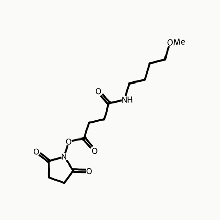 COCCCCNC(=O)CCC(=O)ON1C(=O)CCC1=O